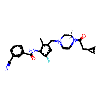 Cc1c(CN2CCN(C(=O)CC3CC3)[C@@H](C)C2)cc(F)cc1NC(=O)c1cccc(C#N)c1